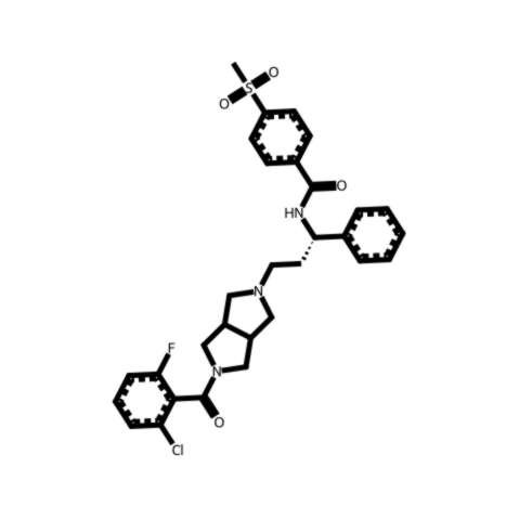 CS(=O)(=O)c1ccc(C(=O)N[C@@H](CCN2CC3CN(C(=O)c4c(F)cccc4Cl)CC3C2)c2ccccc2)cc1